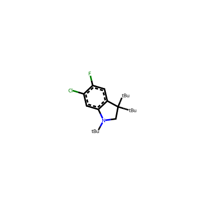 CC(C)(C)N1CC(C(C)(C)C)(C(C)(C)C)c2cc(F)c(Cl)cc21